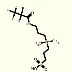 C[N+](C)(CCCNC(=O)C(F)(F)C(F)(F)F)CCCS(=O)(=O)O